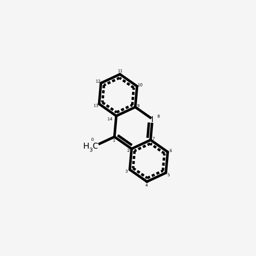 CC1=c2ccccc2=Ic2ccccc21